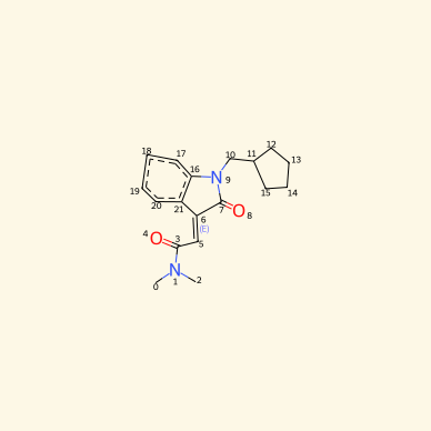 CN(C)C(=O)/C=C1/C(=O)N(CC2CCCC2)c2ccccc21